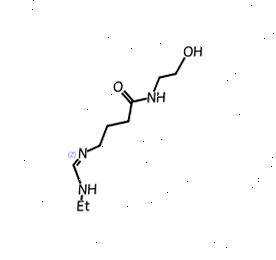 CCN/C=N\CCCC(=O)NCCO